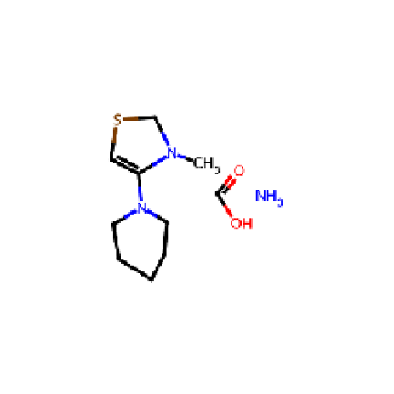 CN1CSC=C1N1CCCCC1.N.O=CO